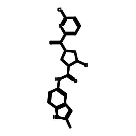 Cc1cc2cc(NC(=O)C3CC(C(=O)c4cccc(Cl)n4)CC3Cl)ccc2[nH]1